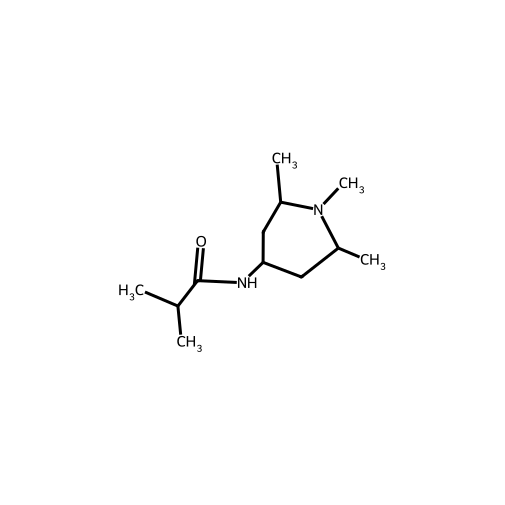 CC(C)C(=O)NC1CC(C)N(C)C(C)C1